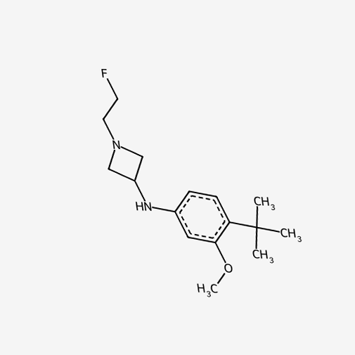 COc1cc(NC2CN(CCF)C2)ccc1C(C)(C)C